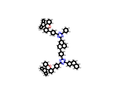 C1=CC(c2ccc(-c3nc(-c4ccc(-c5cccc6c5Oc5ccccc5C65c6ccccc6-c6ccccc65)cc4)nc(-c4ccc5c(ccc6ccccc65)c4)n3)cc2)c2cccc3cc(-c4nc(-c5ccccc5)nc(-c5ccc(-c6cccc7c6Oc6ccccc6C76c7ccccc7-c7ccccc76)cc5)n4)cc1c23